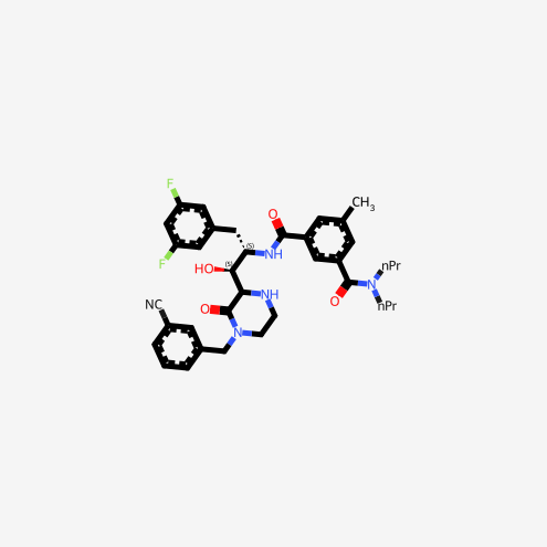 CCCN(CCC)C(=O)c1cc(C)cc(C(=O)N[C@@H](Cc2cc(F)cc(F)c2)[C@H](O)C2NCCN(Cc3cccc(C#N)c3)C2=O)c1